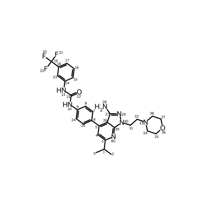 CC(C)c1cc(-c2ccc(NC(=O)Nc3cccc(C(F)(F)F)c3)cc2)c2c(N)nn(CCN3CCOCC3)c2n1